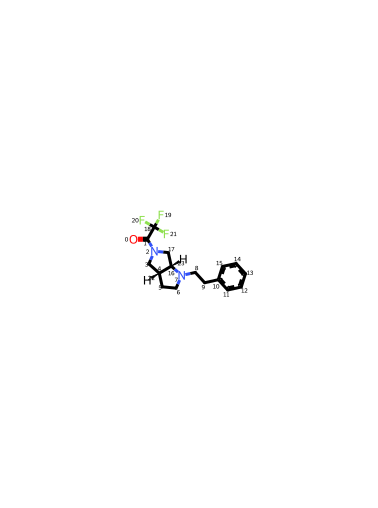 O=C(N1C[C@H]2CCN(CCc3ccccc3)[C@H]2C1)C(F)(F)F